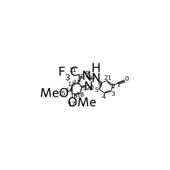 C#Cc1cccc(Nc2nc(C(F)(F)F)c3cc(OC)c(OC)cc3n2)c1